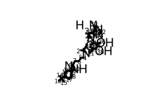 CC(C)N(CCCCc1nc2cc(C(C)(C)C)ccc2[nH]1)CC1O[C@@H](n2ccc3c(N)ncnc32)C(O)[C@@H]1O